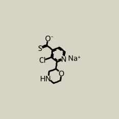 [Na+].[O-]C(=S)c1ccnc(C2CNCCO2)c1Cl